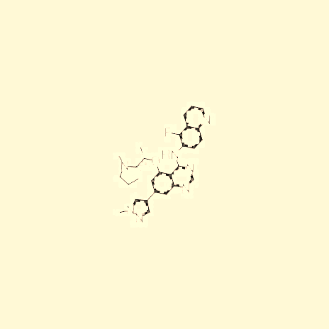 C[C@@H](Oc1cc(-c2cnn(C)c2)cc2ncnc(Nc3ccc4ncccc4c3F)c12)[C@@H]1CCCN1C